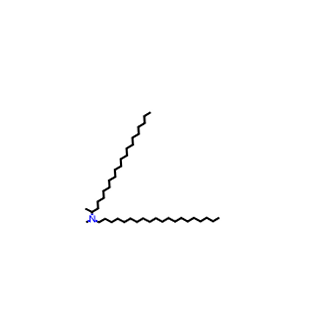 CCCCCCCCCCCCCCCCCCCCN(C)C(C)CCCCCCCCCCCCCCCCCCC